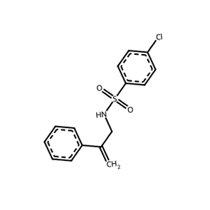 C=C(CNS(=O)(=O)c1ccc(Cl)cc1)c1ccccc1